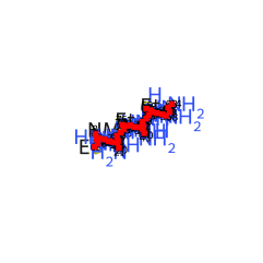 CCSc1nc(NCCNC)nc(NCCNc2nc(NCCN)nc(NCCNc3nc(NCCNc4nc(NCCN)nc(NCCNc5nc(NCCNc6nc(N)nc(NCCN)n6)nc(SCC)n5)n4)nc(SCC)n3)n2)n1